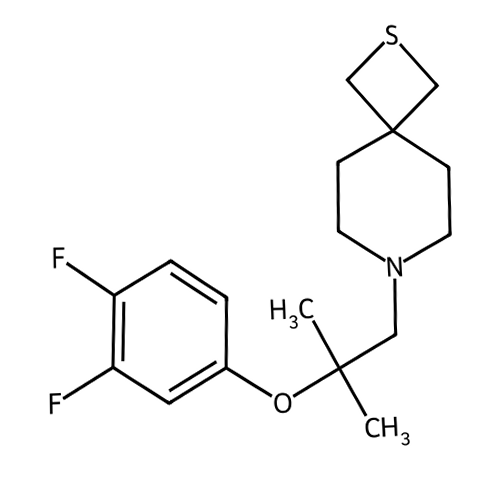 CC(C)(CN1CCC2(CC1)CSC2)Oc1ccc(F)c(F)c1